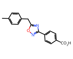 Cc1ccc(Cc2nc(-c3ccc(C(=O)O)cc3)no2)cc1